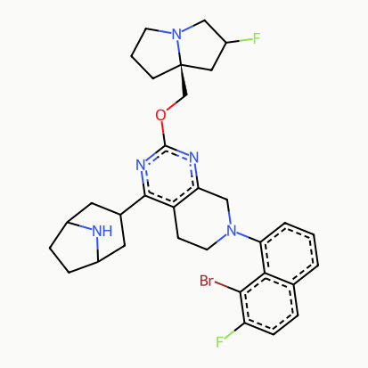 Fc1ccc2cccc(N3CCc4c(nc(OC[C@@]56CCCN5CC(F)C6)nc4C4CC5CCC(C4)N5)C3)c2c1Br